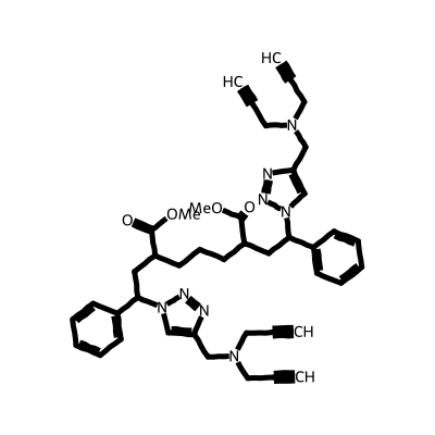 C#CCN(CC#C)Cc1cn(C(CC(CCCC(CC(c2ccccc2)n2cc(CN(CC#C)CC#C)nn2)C(=O)OC)C(=O)OC)c2ccccc2)nn1